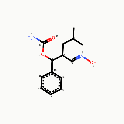 CC(C)CC(C=NO)C(OC(N)=O)c1ccccc1